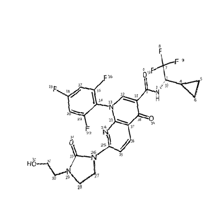 O=C(N[C@@H](C1CC1)C(F)(F)F)c1cn(-c2c(F)cc(F)cc2F)c2nc(N3CCN(CCO)C3=O)ccc2c1=O